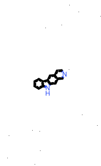 c1ccc2c(c1)[nH]c1cc3cnccc3cc12